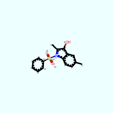 Cc1ccc2c(c1)c(O)c(C)n2S(=O)(=O)c1ccccc1